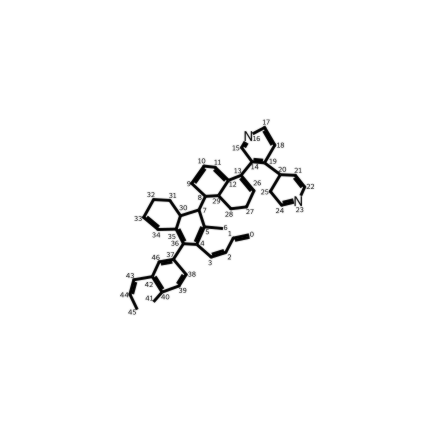 C=C/C=C\C1=C(C)C(C2C=CC=C3C(c4cnccc4C4C=CN=CC4)=CCCC32)C2CCC=CC2=C1c1ccc(C)c(/C=C\C)c1